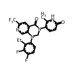 CCc1c(N2CN(c3ccc(=O)[nH]c3C)C(=O)c3cc(C(F)(F)F)ncc32)ccc(F)c1F